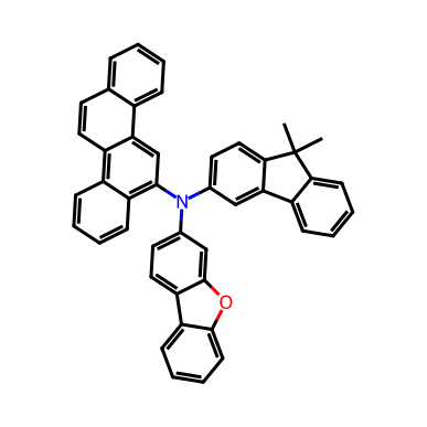 CC1(C)c2ccccc2-c2cc(N(c3ccc4c(c3)oc3ccccc34)c3cc4c5ccccc5ccc4c4ccccc34)ccc21